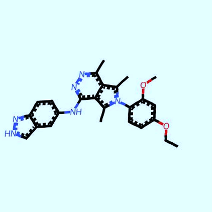 CCOc1ccc(-n2c(C)c3c(C)nnc(Nc4ccc5n[nH]cc5c4)c3c2C)c(OC)c1